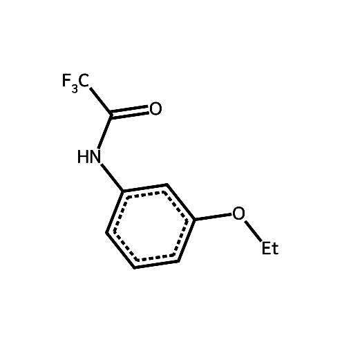 CCOc1cccc(NC(=O)C(F)(F)F)c1